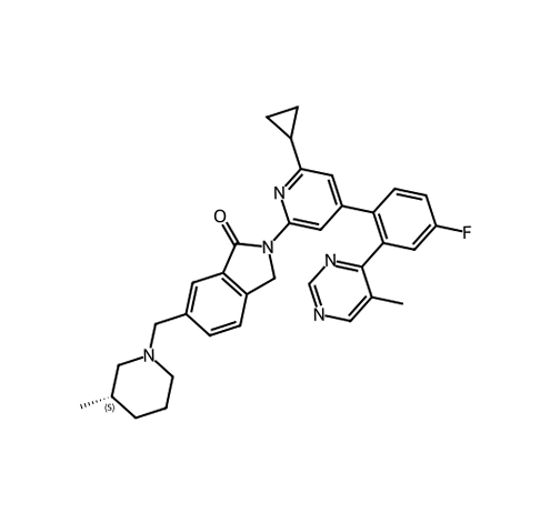 Cc1cncnc1-c1cc(F)ccc1-c1cc(C2CC2)nc(N2Cc3ccc(CN4CCC[C@H](C)C4)cc3C2=O)c1